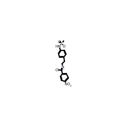 CS(=O)(=O)Nc1ccc(CC/N=C(\Cl)c2ccc([N+](=O)[O-])cc2)cc1